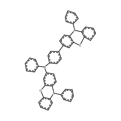 c1ccc(N(c2ccc(-c3ccc4c(c3)Sc3ccccc3N4c3ccccc3)cc2)c2ccc3c(c2)Oc2ccccc2N3c2ccccc2)cc1